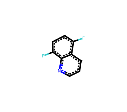 Fc1ccc(F)c2ncc[c]c12